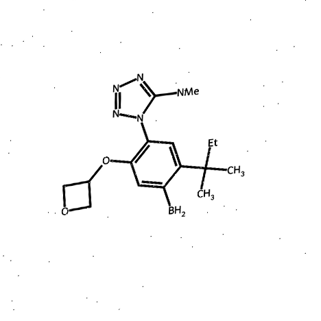 Bc1cc(OC2COC2)c(-n2nnnc2NC)cc1C(C)(C)CC